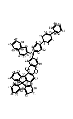 C1=CC(c2ccc(N(c3ccc4c(c3)Oc3c(ccc5c3-c3ccccc3C53c5ccccc5-c5ccccc53)O4)c3ccc4ccccc4c3)cc2)CC=C1c1ccccc1